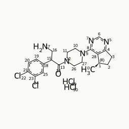 C[C@@H]1CCc2ncnc(N3CCN(C(=O)C(CN)c4ccc(Cl)c(Cl)c4)CC3)c21.Cl.Cl